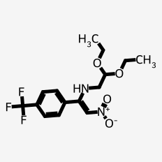 CCOC(CNC(=C[N+](=O)[O-])c1ccc(C(F)(F)F)cc1)OCC